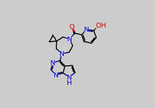 O=C(c1cccc(O)n1)N1CCN(c2ncnc3[nH]ccc23)CC2(CC2)C1